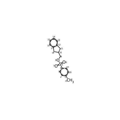 Cc1ccc(S(=O)(=O)OCC2Cc3ccccc3C2)cc1